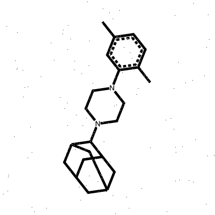 Cc1ccc(C)c(N2CCN(C3C4CC5CC(C4)CC3C5)CC2)c1